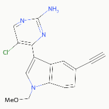 C#Cc1ccc2c(c1)c(-c1nc(N)ncc1Cl)cn2COC